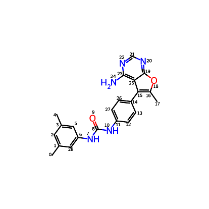 Cc1cc(C)cc(NC(=O)Nc2ccc(-c3c(C)oc4ncnc(N)c34)cc2)c1